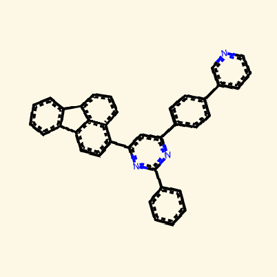 c1ccc(-c2nc(-c3ccc(-c4cccnc4)cc3)cc(-c3ccc4c5c(cccc35)-c3ccccc3-4)n2)cc1